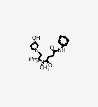 CC(C)[C@@H](CN1CC[C@H](O)C1)N(C)C(=O)CCC(=O)Nc1ccccc1